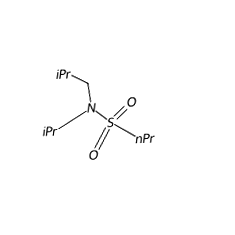 CCCS(=O)(=O)N(CC(C)C)C(C)C